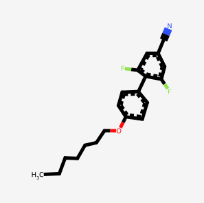 CCCCCCCOc1ccc(-c2c(F)cc(C#N)cc2F)cc1